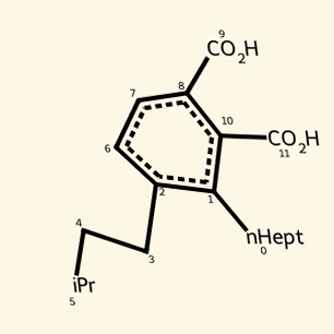 CCCCCCCc1c(CCC(C)C)ccc(C(=O)O)c1C(=O)O